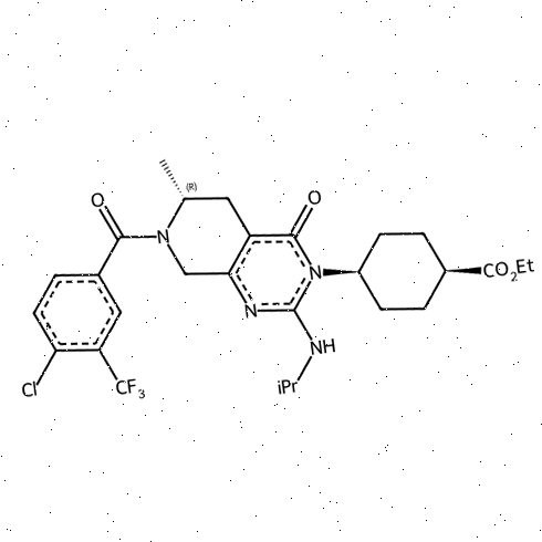 CCOC(=O)[C@H]1CC[C@@H](n2c(NC(C)C)nc3c(c2=O)C[C@@H](C)N(C(=O)c2ccc(Cl)c(C(F)(F)F)c2)C3)CC1